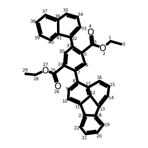 CCOC(=O)c1cc(-c2ccc3c4c(cccc24)-c2ccccc2-3)c(C(=O)OCC)cc1-c1cccc2ccccc12